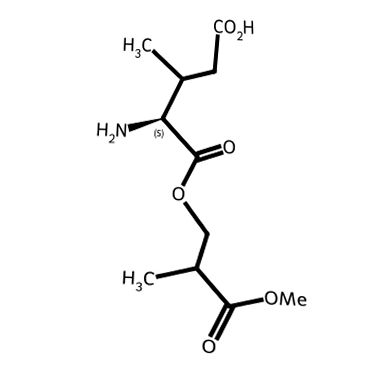 COC(=O)C(C)COC(=O)[C@@H](N)C(C)CC(=O)O